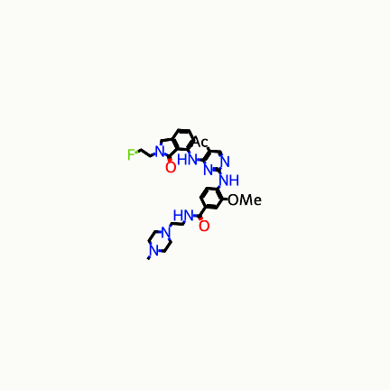 COc1cc(C(=O)NCCN2CCN(C)CC2)ccc1Nc1ncc(C(C)=O)c(Nc2cccc3c2C(=O)N(CCF)C3)n1